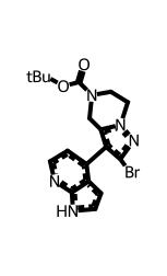 CC(C)(C)OC(=O)N1CCn2nc(Br)c(-c3ccnc4[nH]ccc34)c2C1